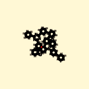 c1ccc(-c2ccc3c(c2)c2ccccc2n3-c2cc3oc4ccccc4c3cc2-c2ccc3c(c2)oc2cccc(-c4cccc(-c5nc(-c6ccccc6)nc(-c6ccccc6)n5)c4)c23)cc1